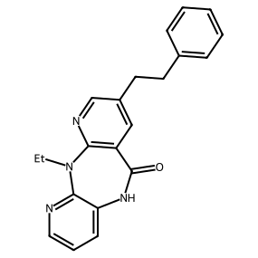 CCN1c2ncccc2NC(=O)c2cc(CCc3ccccc3)cnc21